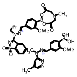 COc1cc(/C=N/N(C)c2cc(C)cnn2)ccc1B(O)O.COc1cc(/C=N/N(CC(C)C)C2=NS(=O)(=O)c3ccccc32)ccc1B1OC(=O)CN(C)CC(=O)O1